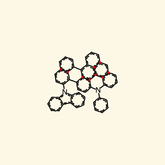 c1ccc(-c2cc(-c3ccccc3-n3c4ccccc4c4ccccc43)ccc2N(c2ccccc2)c2ccccc2-c2ccc(-c3ccccc3)c3ccccc23)cc1